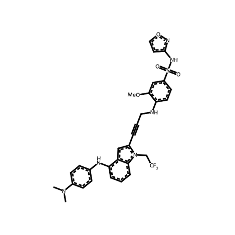 COc1cc(S(=O)(=O)Nc2ccon2)ccc1NCC#Cc1cc2c(Nc3ccc(N(C)C)cc3)cccc2n1CC(F)(F)F